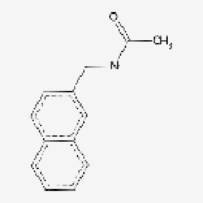 CC(=O)[N]Cc1ccc2ccccc2c1